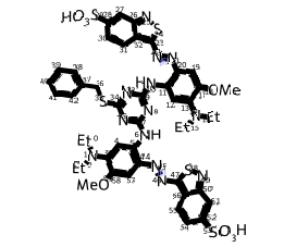 CCN(CC)c1cc(Nc2nc(Nc3cc(N(CC)CC)c(OC)cc3/N=N/c3snc4cc(S(=O)(=O)O)ccc34)nc(SCc3ccccc3)n2)c(/N=N/c2snc3cc(S(=O)(=O)O)ccc23)cc1OC